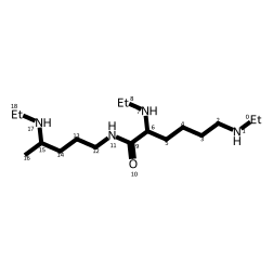 CCNCCCCC(NCC)C(=O)NCCCC(C)NCC